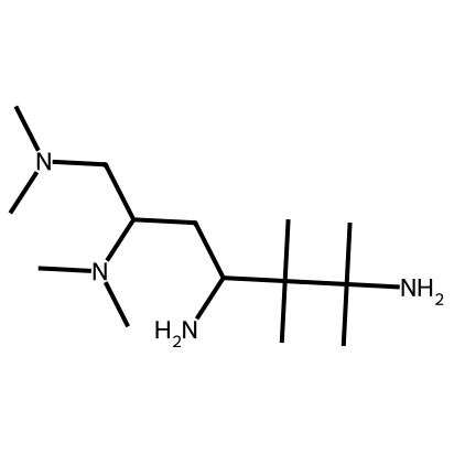 CN(C)CC(CC(N)C(C)(C)C(C)(C)N)N(C)C